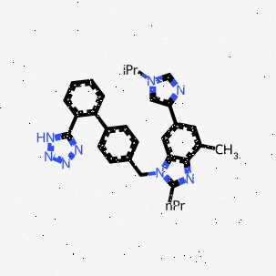 CCCc1nc2c(C)cc(-c3cn(C(C)C)cn3)cc2n1Cc1ccc(-c2ccccc2-c2nnn[nH]2)cc1